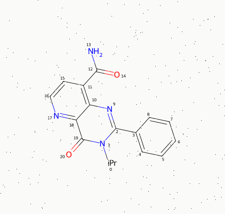 CC(C)n1c(-c2ccccc2)nc2c(C(N)=O)ccnc2c1=O